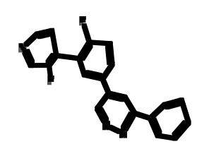 Fc1cnccc1-c1cc(-c2cnnc(-c3ccccc3)c2)ccc1F